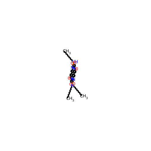 CCCCCCCCCCCCNS(=O)(=O)c1ccc2c(c1)nc1c3ccc4c5ccc6c(=O)n7c8ccc(S(=O)(=O)N(CCCCCCCCCCCC)CCCCCCCCCCCC)cc8nc7c7ccc(c8ccc(c(=O)n21)c3c48)c5c67